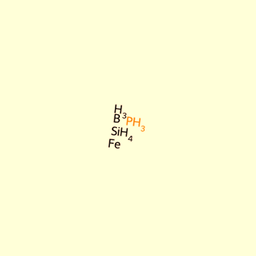 B.P.[Fe].[SiH4]